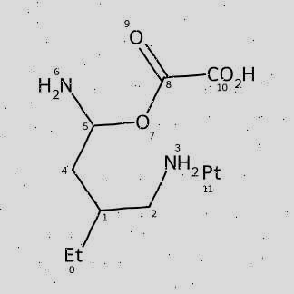 CCC(CN)CC(N)OC(=O)C(=O)O.[Pt]